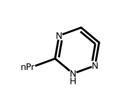 CCCC1=NC=C=NN1